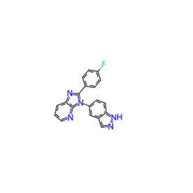 Fc1ccc(-c2nc3cccnc3n2-c2ccc3[nH]ncc3c2)cc1